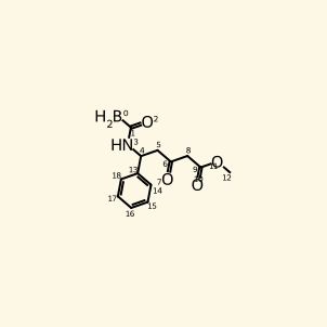 BC(=O)NC(CC(=O)CC(=O)OC)c1ccccc1